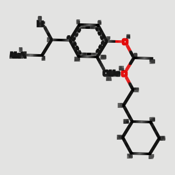 CCC(CNC)c1ccc(OC(C)OCCC2CCCCC2)c(OC)c1